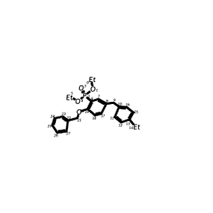 CCOP(=O)(OCC)c1cc(Cc2ccc(CC)cc2)ccc1OCc1ccccc1